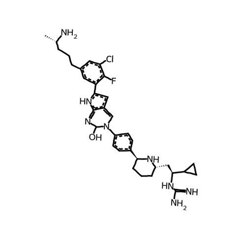 C[C@H](N)CCCc1cc(Cl)c(F)c(-c2cc3c([nH]2)=NC(O)N(c2ccc([C@@H]4CCC[C@@H](C[C@H](NC(=N)N)C5CC5)N4)cc2)C=3)c1